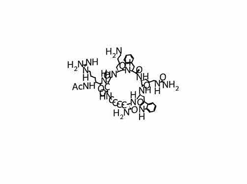 CC(=O)N[C@@H](CCCNC(=N)N)C(=O)N[C@H]1CC(=O)NCCCC[C@@H](C(N)=O)NC(=O)[C@H](Cc2c[nH]c3ccccc23)NC(=O)[C@H](CCCNC(N)=O)NC(=O)C(Cc2ccccc2)NC(=O)[C@H](CCCCN)NC1=O